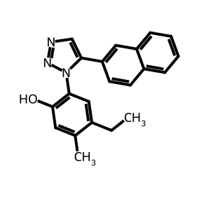 CCc1cc(-n2nncc2-c2ccc3ccccc3c2)c(O)cc1C